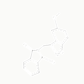 COc1ccc2onc(CN3C(=O)c4ccccc4C3=O)c2c1